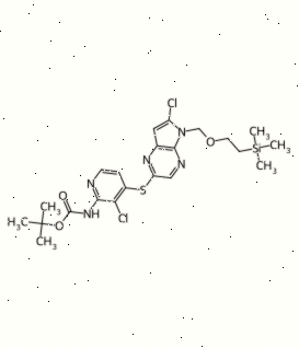 CC(C)(C)OC(=O)Nc1nccc(Sc2cnc3c(cc(Cl)n3COCC[Si](C)(C)C)n2)c1Cl